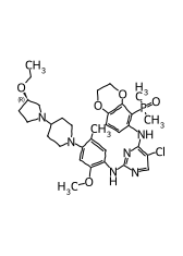 CCO[C@@H]1CCN(C2CCN(c3cc(OC)c(Nc4ncc(Cl)c(Nc5ccc6c(c5P(C)(C)=O)OCCO6)n4)cc3C)CC2)C1